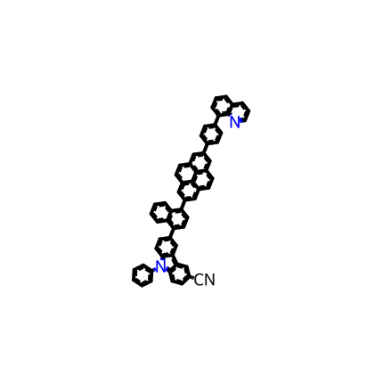 N#Cc1ccc2c(c1)c1cc(-c3ccc(-c4cc5ccc6cc(-c7ccc(-c8cccc9cccnc89)cc7)cc7ccc(c4)c5c67)c4ccccc34)ccc1n2-c1ccccc1